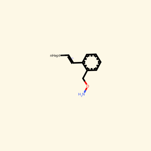 CCCCCCC/C=C/c1ccccc1CON